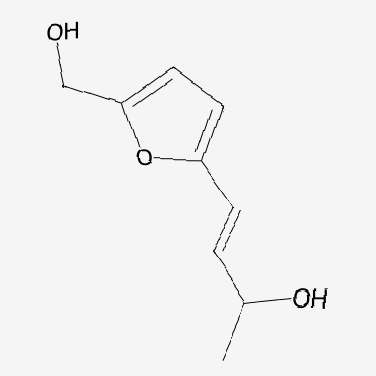 CC(O)/C=C/c1ccc(CO)o1